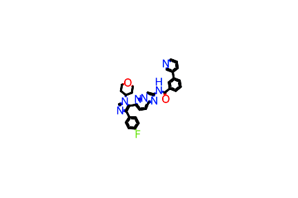 O=C(Nc1cn2nc(-c3c(-c4ccc(F)cc4)ncn3C3CCOCC3)ccc2n1)c1cccc(-c2cccnc2)c1